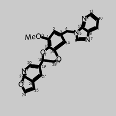 COc1cc(Cn2cnc3cccnc32)cc2c1OC(c1cnc3occc3c1)CO2